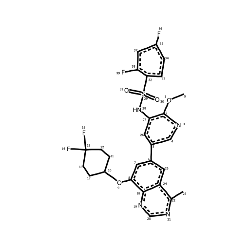 COc1ncc(-c2cc(OC3CCC(F)(F)CC3)c3ncnc(C)c3c2)cc1NS(=O)(=O)c1ccc(F)cc1F